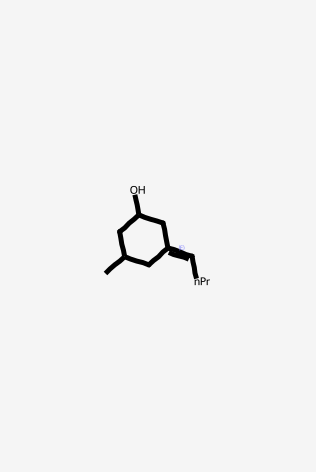 CCC/C=C1\CC(C)CC(O)C1